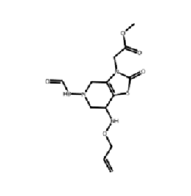 C=CCONC1CN(BC=O)Cc2c1sc(=O)n2CC(=O)OC